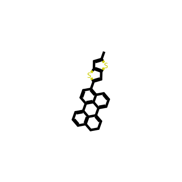 Cc1cc2sc(-c3ccc4c5cccc6c5c(c5cccc3c54)=CCC6)cc2s1